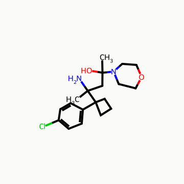 CC(O)(CC(C)(N)C1(c2ccc(Cl)cc2)CCC1)N1CCOCC1